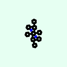 c1ccc(-c2ccc3c4c(-c5ccccc5)c5c(c(-c6ccccc6)c4n4c6ccccc6c2c34)c2ccc(-c3ccccc3)c3c4ccccc4n5c23)cc1